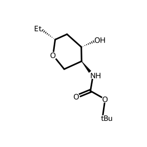 CC[C@@H]1C[C@H](O)[C@@H](NC(=O)OC(C)(C)C)CO1